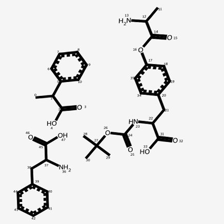 CC(C(=O)O)c1ccccc1.CC(N)C(=O)Oc1ccc(CC(NC(=O)OC(C)(C)C)C(=O)O)cc1.NC(Cc1ccccc1)C(=O)O